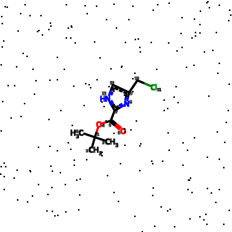 CC(C)(C)OC(=O)c1nc(CCl)c[nH]1